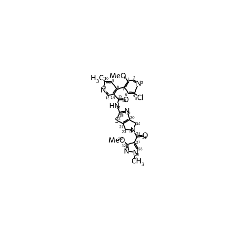 COc1cnc(Cl)cc1-c1cc(C)ncc1C(=O)Nc1nc2c(s1)CN(C(=O)c1cn(C)nc1OC)C2